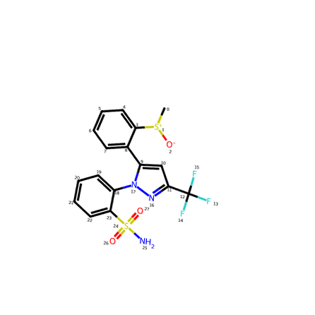 C[S+]([O-])c1ccccc1-c1cc(C(F)(F)F)nn1-c1ccccc1S(N)(=O)=O